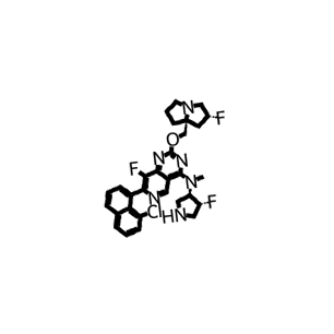 CN(c1nc(OC[C@@]23CCCN2C[C@H](F)C3)nc2c(F)c(-c3cccc4cccc(Cl)c34)ncc12)[C@@H]1CNC[C@H]1F